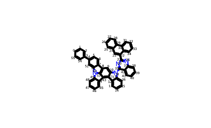 c1ccc(-c2ccc3c4cc5c(c6ccccc6n5-c5nc(-c6cc7ccccc7c7ccccc67)nc6ccccc56)c5c6ccccc6n(c3c2)c45)cc1